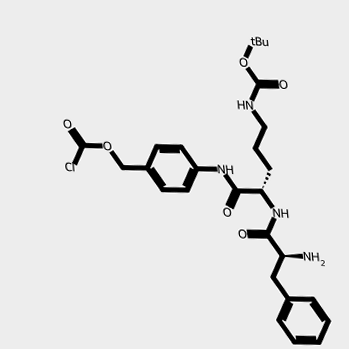 CC(C)(C)OC(=O)NCCC[C@H](NC(=O)[C@@H](N)Cc1ccccc1)C(=O)Nc1ccc(COC(=O)Cl)cc1